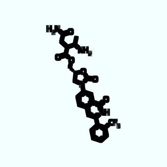 CC(N)C(CC(N)=O)C(=O)OC[C@H]1CN(c2ccc3cc(-c4ccccc4C(F)(F)F)[nH]c(=O)c3c2)C(=O)O1